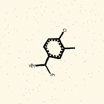 CCCC(CCC)c1ccc(Cl)c(C)c1